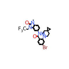 Cn1c(=O)n(CC(F)(F)F)c2cc(NC(=O)c3ccc(Br)cc3N3CCC4(CC3)CC4)ccc21